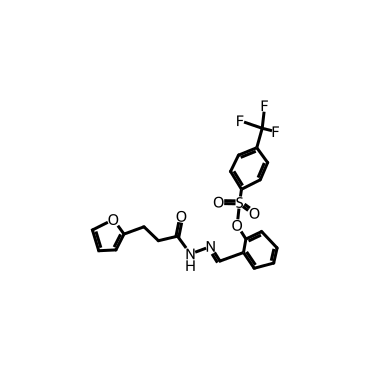 O=C(CCc1ccco1)N/N=C/c1ccccc1OS(=O)(=O)c1ccc(C(F)(F)F)cc1